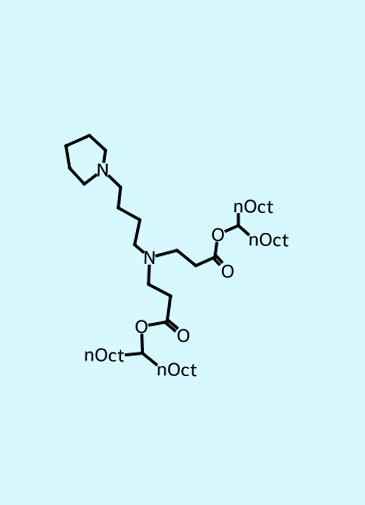 CCCCCCCCC(CCCCCCCC)OC(=O)CCN(CCCCN1CCCCC1)CCC(=O)OC(CCCCCCCC)CCCCCCCC